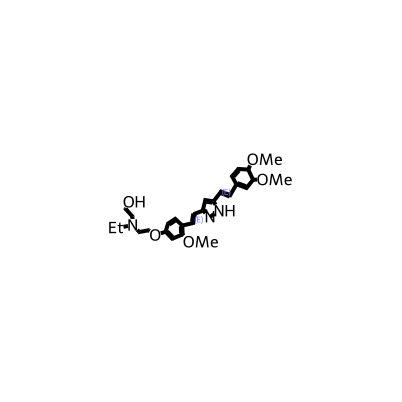 CCN(CCO)CCOc1ccc(/C=C/c2cc(/C=C/C3=CC(OC)C(OC)C=C3)[nH]n2)c(OC)c1